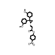 COc1cccc(C2(c3cccc(OC)c3)C[C@@H]2/C=C/C(=O)Oc2ccc([N+](=O)[O-])cc2)c1